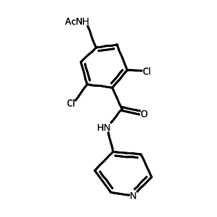 CC(=O)Nc1cc(Cl)c(C(=O)Nc2ccncc2)c(Cl)c1